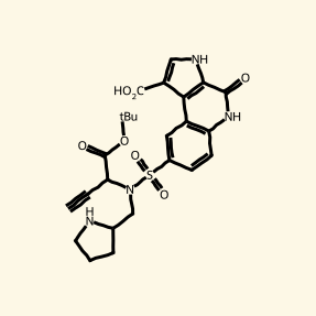 C#CC(C(=O)OC(C)(C)C)N(CC1CCCN1)S(=O)(=O)c1ccc2[nH]c(=O)c3[nH]cc(C(=O)O)c3c2c1